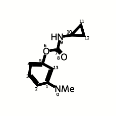 CNc1cccc(OC(=O)NC2CC2)c1